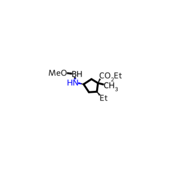 CCOC(=O)[C@]1(C)C[C@H](NBOC)C[C@@H]1CC